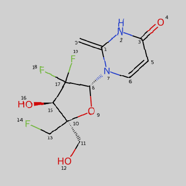 C=C1NC(=O)C=CN1[C@@H]1O[C@@](CO)(CF)[C@@H](O)C1(F)F